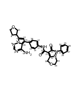 Nc1ncnn2c(C3CCOC3)cc(-c3ccc(NC(=O)c4c5n(n(-c6ccccc6)c4=O)CCOC5)cc3)c12